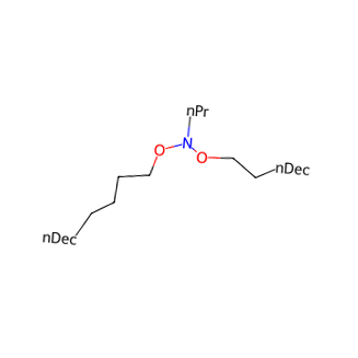 CCCCCCCCCCCCCCON(CCC)OCCCCCCCCCCCC